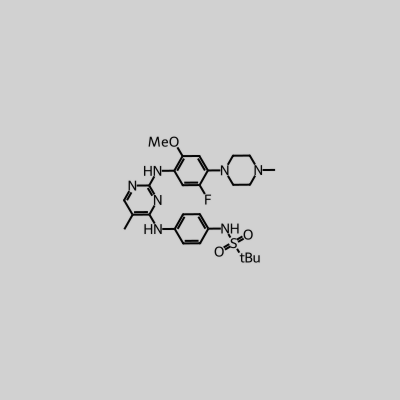 COc1cc(N2CCN(C)CC2)c(F)cc1Nc1ncc(C)c(Nc2ccc(NS(=O)(=O)C(C)(C)C)cc2)n1